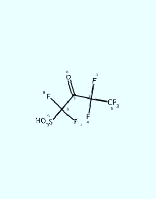 O=C(C(F)(F)C(F)(F)F)C(F)(F)S(=O)(=O)O